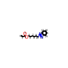 C=CC(=O)OCCCCCCn1nc2ccccc2n1